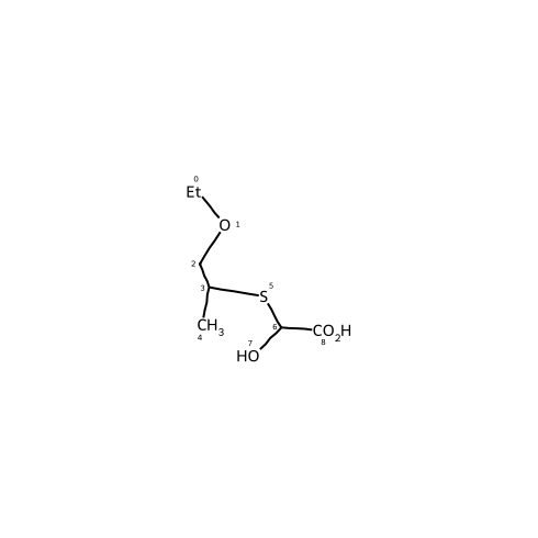 CCOCC(C)SC(O)C(=O)O